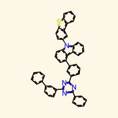 c1ccc(-c2cccc(-c3nc(-c4ccccc4)nc(-c4cccc(-c5cccc6c5c5ccccc5n6-c5ccc6sc7ccccc7c6c5)c4)n3)c2)cc1